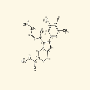 Cc1cc(-n2nc3c(c2N(C)/C=C\NC=O)CN(C(=O)OC(C)(C)C)CC3)cc(C)c1F